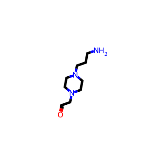 NCCCN1CCN(CC=O)CC1